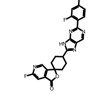 O=C1OC2(CCC(c3nc4cnc(-c5ccc(F)cc5F)nc4[nH]3)CC2)c2cnc(F)cc21